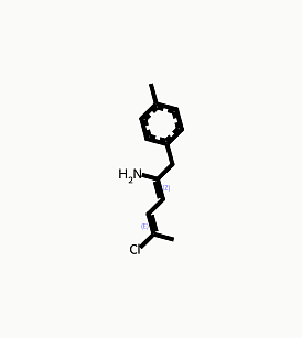 C/C(Cl)=C\C=C(/N)Cc1ccc(C)cc1